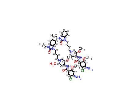 CCn1c(=O)n(CCCCN2CCC(NC(=O)c3cc(Cl)c(N)cc3OC)C(OC)C2)c2ccccc21.CCn1c(=O)n(CCCCN2CCC(NC(=O)c3cc(Cl)c(N)cc3OC)C(OC)C2)c2ccccc21.O